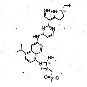 CC(C)c1ccc(N2C[C@H](CS(C)(=O)=O)[C@H]2N)c2cnc(Nc3ccnc(/C(C=N)=C4\CC[C@@H](CF)N4)n3)cc12